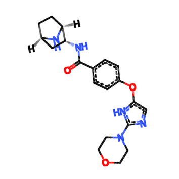 O=C(N[C@@H]1C[C@H]2CC[C@@H]1N2)c1ccc(Oc2cnc(N3CCOCC3)[nH]2)cc1